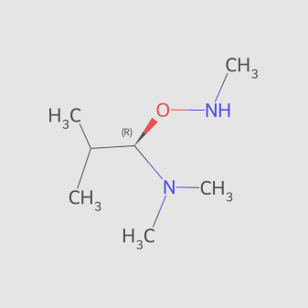 CNO[C@H](C(C)C)N(C)C